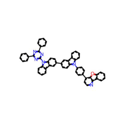 c1ccc(-c2nc(-c3ccccc3)nc(-n3c4ccccc4c4cc(-c5ccc6c(c5)c5ccccc5n6-c5ccc(-c6ccnc7c6oc6ccccc67)cc5)ccc43)n2)cc1